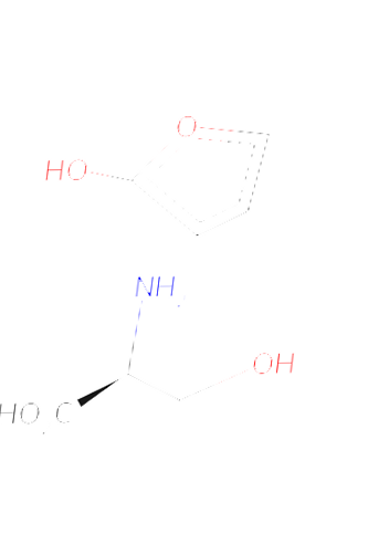 N[C@@H](CO)C(=O)O.Oc1ccco1